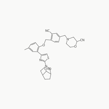 Cc1ccc(OCc2ccc(CN3CCOC(C#N)C3)cc2C#N)c(-c2csc(N3CC4CCC(C3)C4C=O)n2)c1